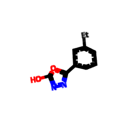 CCc1cccc(-c2nnc(O)o2)c1